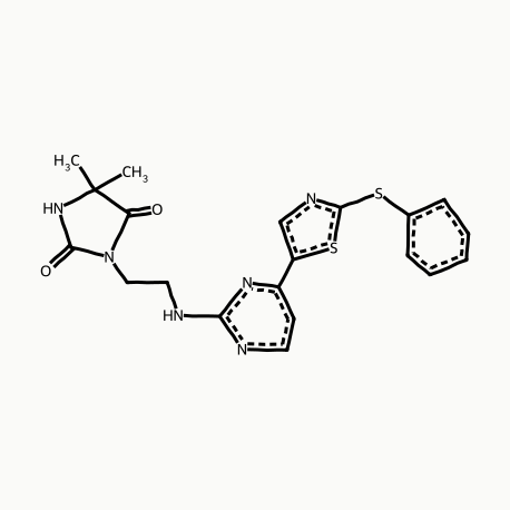 CC1(C)NC(=O)N(CCNc2nccc(-c3cnc(Sc4ccccc4)s3)n2)C1=O